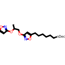 [CH2]C(COc1cc(CCCCCCCCCCCCCCCC)on1)Oc1ccon1